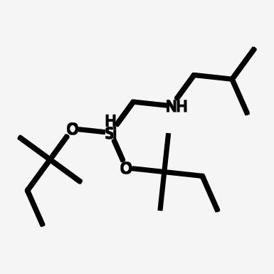 CCC(C)(C)O[SiH](CNCC(C)C)OC(C)(C)CC